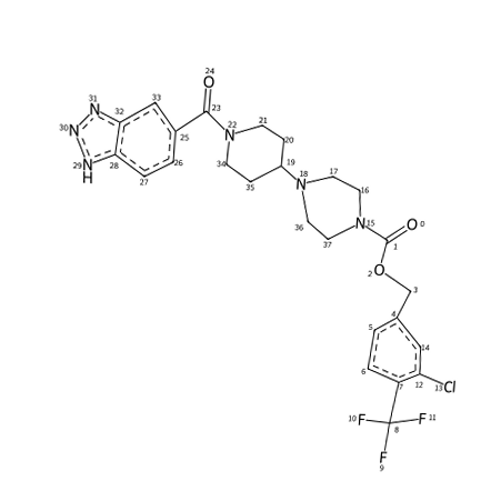 O=C(OCc1ccc(C(F)(F)F)c(Cl)c1)N1CCN(C2CCN(C(=O)c3ccc4[nH]nnc4c3)CC2)CC1